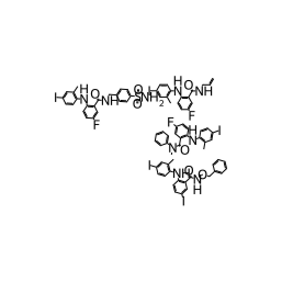 C=CCNC(=O)c1cc(F)ccc1Nc1ccc(I)cc1C.Cc1cc(I)ccc1Nc1ccc(F)cc1C(=O)N(C)c1ccccc1.Cc1cc(I)ccc1Nc1ccc(F)cc1C(=O)NCc1ccc(S(N)(=O)=O)cc1.Cc1cc(I)ccc1Nc1ccc(I)cc1C(=O)NOCc1ccccc1